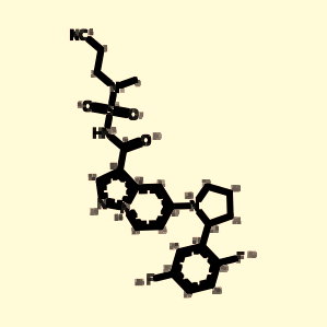 CN(CCC#N)S(=O)(=O)NC(=O)c1cnn2ccc(N3CCCC3c3cc(F)ccc3F)cc12